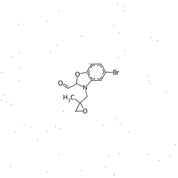 CC1(CN2c3cc(Br)ccc3OC2C=O)CO1